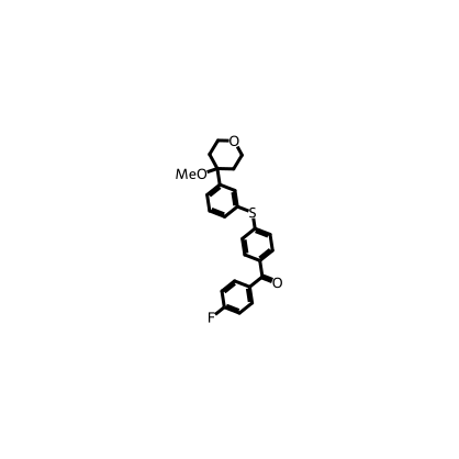 COC1(c2cccc(Sc3ccc(C(=O)c4ccc(F)cc4)cc3)c2)CCOCC1